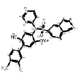 COc1cc(-c2ccc(C)c(Cl)c2)c(C#N)cc1N(c1ccncn1)S(=O)(=O)c1ccc2cnccc2c1